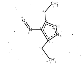 CCc1n[nH]c(CC)c1N=O